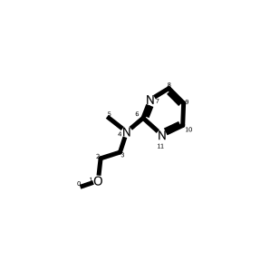 COCCN(C)c1ncccn1